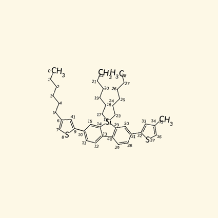 CCCCCCc1csc(-c2ccc3c(c2)[Si](CCCCCC)(CCCCCC)c2cc(-c4cc(C)cs4)ccc2-3)c1